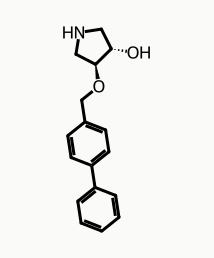 O[C@H]1CNC[C@@H]1OCc1ccc(-c2ccccc2)cc1